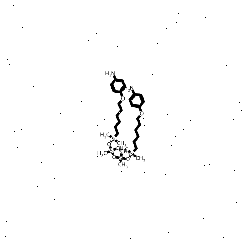 C[Si](C)(CCCCCCOc1ccc(N)cc1)O[Si](C)(C)O[Si](C)(C)O[Si](C)(C)CCCCCCOc1ccc(N)cc1